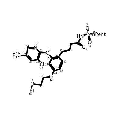 CCCCCS(=O)(=O)NC(=O)CCCc1ccc(OCCOCC)cc1Oc1ncc(C(F)(F)F)cc1Cl